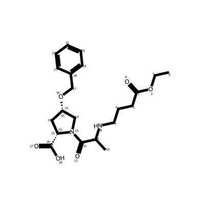 CCOC(=O)CCCNC(C)C(=O)N1C[C@@H](OCc2ccccc2)C[C@H]1C(=O)O